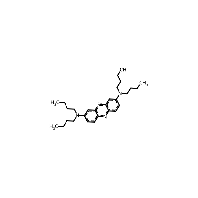 CCCCN(CCCC)c1ccc2nc3ccc(N(CCCC)CCCC)cc3[s+]c2c1